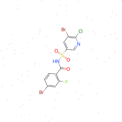 O=C(NS(=O)(=O)c1cnc(Cl)c(Br)c1)c1ccc(Br)cc1F